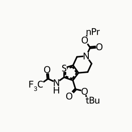 CCCOC(=O)N1CCc2c(sc(NC(=O)C(F)(F)F)c2C(=O)OC(C)(C)C)C1